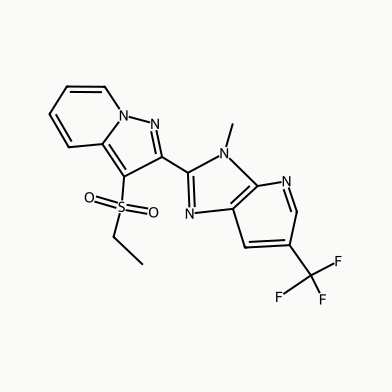 CCS(=O)(=O)c1c(-c2nc3cc(C(F)(F)F)cnc3n2C)nn2ccccc12